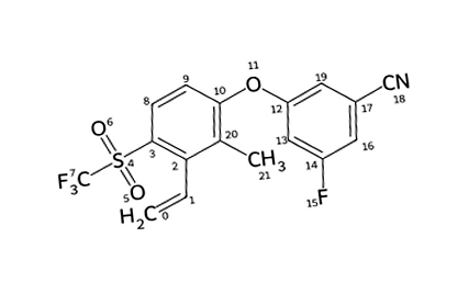 C=Cc1c(S(=O)(=O)C(F)(F)F)ccc(Oc2cc(F)cc(C#N)c2)c1C